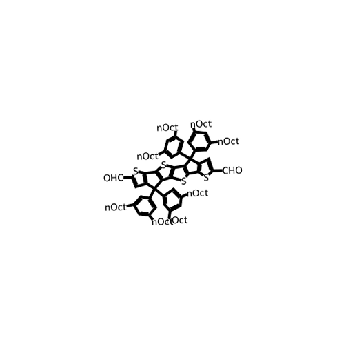 CCCCCCCCc1cc(CCCCCCCC)cc(C2(c3cc(CCCCCCCC)cc(CCCCCCCC)c3)c3cc(C=O)sc3-c3sc4c5c(sc4c32)-c2sc(C=O)cc2C5(c2cc(CCCCCCCC)cc(CCCCCCCC)c2)c2cc(CCCCCCCC)cc(CCCCCCCC)c2)c1